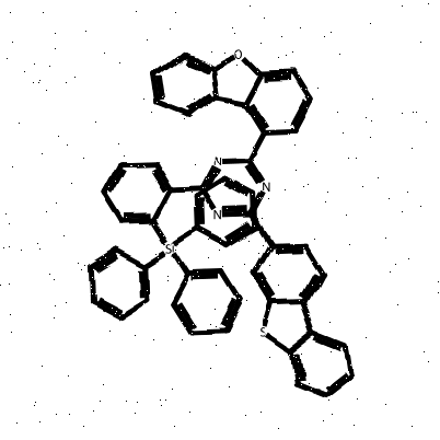 c1ccc([Si](c2ccccc2)(c2ccccc2)c2ccccc2-c2nc(-c3ccc4c(c3)sc3ccccc34)nc(-c3cccc4oc5ccccc5c34)n2)cc1